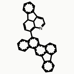 C1=CC2c3ccccc3C3=CC=NC(=C1c1cc4c5cccc6c5c(cc4c4ccccc14)-c1ccccc1-6)C32